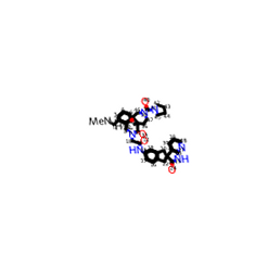 CNCc1ccccc1CN(CC(=O)Nc1ccc2c(c1)CC1(C2)C(=O)Nc2ncccc21)C(=O)C1(C)CCN(C(=O)N2CCCC2)CC1